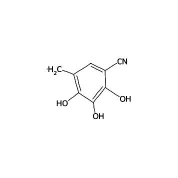 [CH2]c1cc(C#N)c(O)c(O)c1O